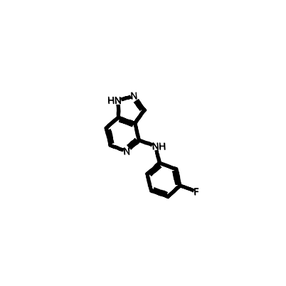 Fc1cccc(Nc2nccc3[nH]ncc23)c1